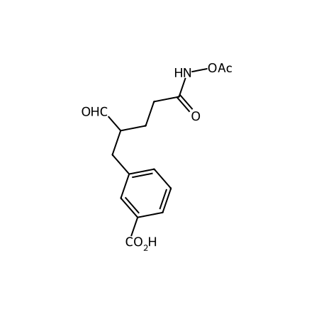 CC(=O)ONC(=O)CCC(C=O)Cc1cccc(C(=O)O)c1